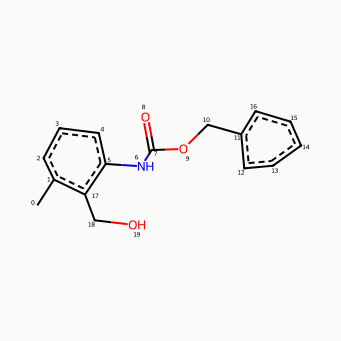 Cc1cccc(NC(=O)OCc2ccccc2)c1CO